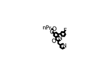 CCCC(=O)Oc1cc2c(=O)c(Cc3cccnc3)cn3c4ccc(F)cc4c(c1)c23